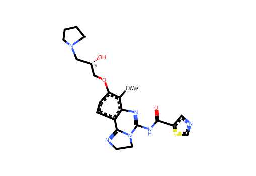 COc1c(OC[C@@H](O)CN2CCCC2)ccc2c1N=C(NC(=O)c1cncs1)N1CCN=C21